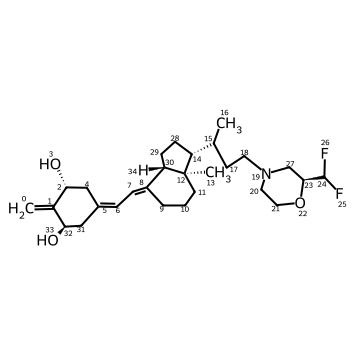 C=C1[C@H](O)CC(=C/C=C2\CCC[C@]3(C)[C@@H](C(C)CCN4CCO[C@H](C(F)F)C4)CC[C@@H]23)C[C@H]1O